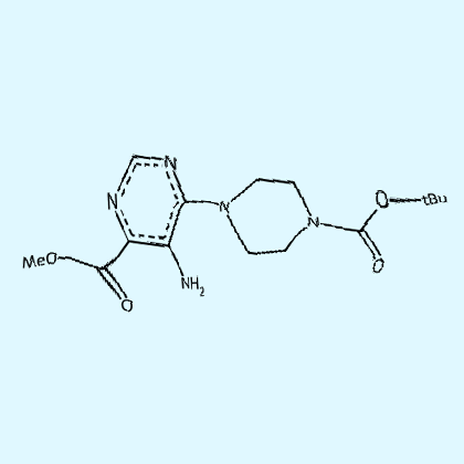 COC(=O)c1ncnc(N2CCN(C(=O)OC(C)(C)C)CC2)c1N